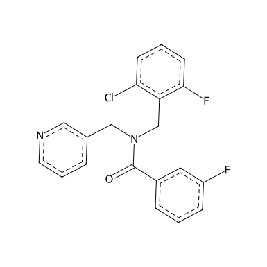 O=C(c1cccc(F)c1)N(Cc1cccnc1)Cc1c(F)cccc1Cl